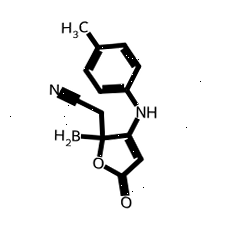 BC1(CC#N)OC(=O)C=C1Nc1ccc(C)cc1